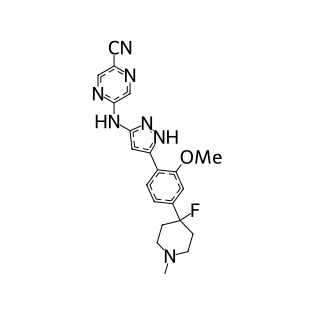 COc1cc(C2(F)CCN(C)CC2)ccc1-c1cc(Nc2cnc(C#N)cn2)n[nH]1